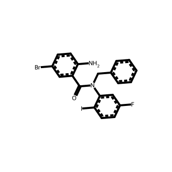 Nc1ccc(Br)cc1C(=O)N(Cc1ccccc1)c1cc(F)ccc1I